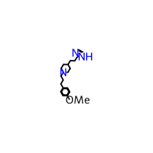 COc1ccc(CCCN2CCC(CCc3ncc[nH]3)CC2)cc1